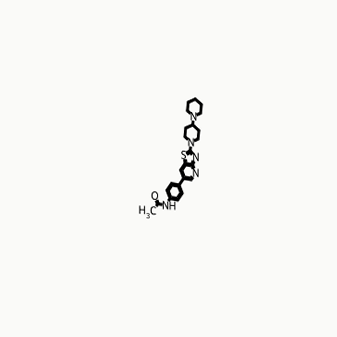 CC(=O)Nc1ccc(-c2cnc3nc(N4CCC(N5CCCCC5)CC4)sc3c2)cc1